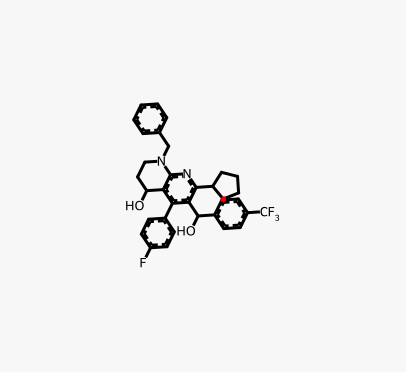 OC1CCN(Cc2ccccc2)c2nc(C3CCCC3)c(C(O)c3ccc(C(F)(F)F)cc3)c(-c3ccc(F)cc3)c21